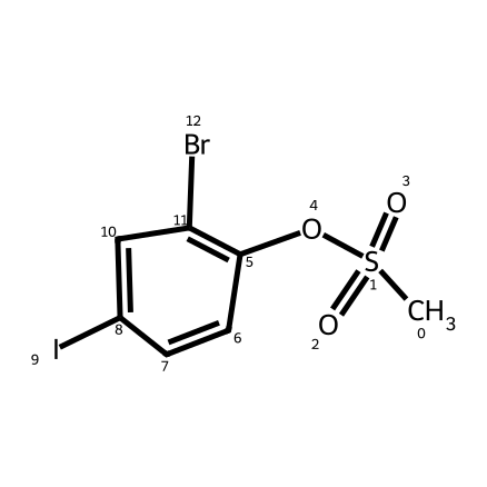 CS(=O)(=O)Oc1ccc(I)cc1Br